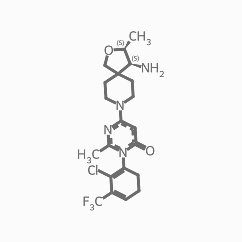 Cc1nc(N2CCC3(CC2)CO[C@@H](C)[C@H]3N)cc(=O)n1C1=C(Cl)C(C(F)(F)F)=CCC1